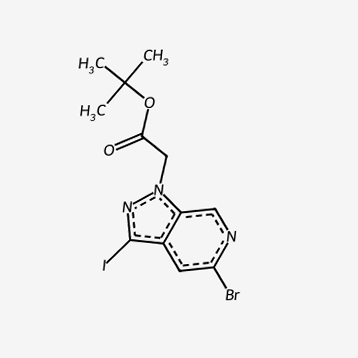 CC(C)(C)OC(=O)Cn1nc(I)c2cc(Br)ncc21